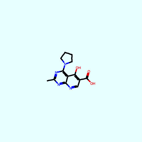 Cc1nc(N2CCCC2)c2c(O)c(C(=O)O)cnc2n1